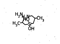 CC(CN)C[Si](O)(O)CC(C)CN